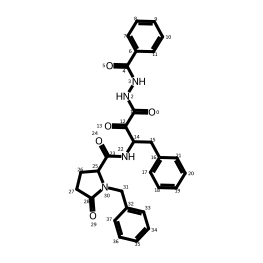 O=C(NNC(=O)c1ccccc1)C(=O)C(Cc1ccccc1)NC(=O)C1CCC(=O)N1Cc1ccccc1